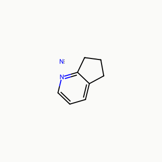 [N].c1cnc2c(c1)CCC2